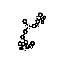 c1ccc(-c2nc(-c3ccc(-c4cccc(-c5cccc6c5-c5ccccc5C65c6ccccc6Oc6cc7oc8ccccc8c7cc65)c4)cc3)nc(-c3ccc4sc5cc6c(cc5c4c3)Oc3ccccc3C63c4ccccc4-c4ccccc43)n2)cc1